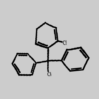 ClC1=CCCC=C1C(Cl)(c1ccccc1)c1ccccc1